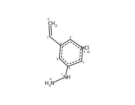 C=Cc1cccc(NN)c1.Cl